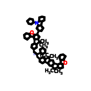 CC1(C)c2cc(C/C(=C/c3ccc4c(c3)C(C)(C)c3cc(-c5ccc6c7ccccc7n(-c7ccccc7)c6c5)c5oc6ccccc6c5c3-4)c3ccccc3)ccc2-c2cc3c(cc21)-c1c(ccc2oc4ccccc4c12)C3(C)C